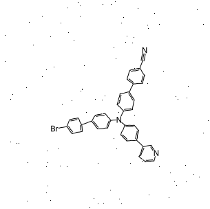 N#Cc1ccc(-c2ccc(N(c3ccc(-c4ccc(Br)cc4)cc3)c3ccc(-c4cccnc4)cc3)cc2)cc1